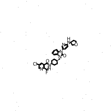 O=C(N[C@H]1CC[C@H](Cn2c(=O)n(-c3ccc(N[C@@H]4CCOC4)nc3)c3ccccc32)CC1)c1cc(Cl)cnc1C(F)F